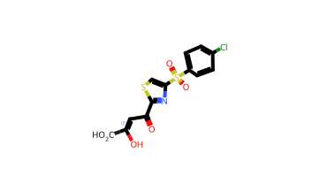 O=C(O)/C(O)=C/C(=O)c1nc(S(=O)(=O)c2ccc(Cl)cc2)cs1